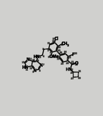 COc1c(CCNc2ncnc3[nH]cnc23)cc(Cl)c(C)c1-c1ccc(C(=O)NC2CCC2)c(F)c1